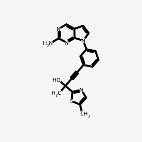 Cc1cnc(C(C)(O)C#Cc2cccc(-n3ccc4cnc(N)nc43)c2)s1